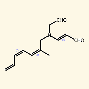 C=C/C=C\C=C(\C)CN(/C=C/C=O)CC=O